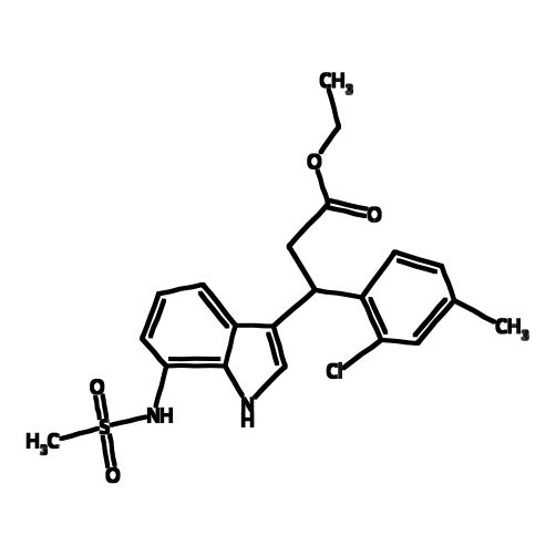 CCOC(=O)CC(c1ccc(C)cc1Cl)c1c[nH]c2c(NS(C)(=O)=O)cccc12